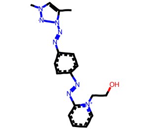 CC1=CN(C)[N]N1N=Nc1ccc(N=Nc2cccc[n+]2CCO)cc1